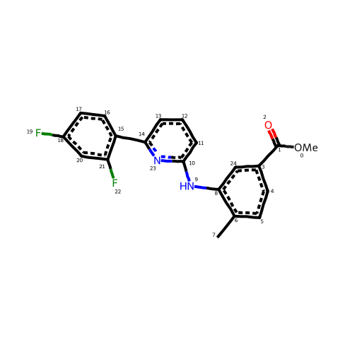 COC(=O)c1ccc(C)c(Nc2cccc(-c3ccc(F)cc3F)n2)c1